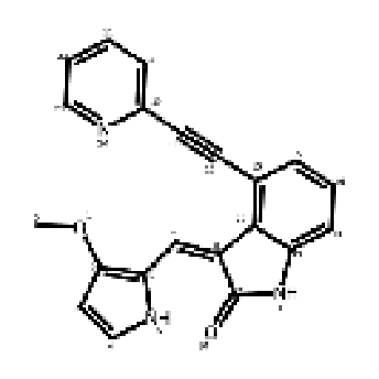 COc1cc[nH]c1C=C1C(=O)Nc2cccc(C#Cc3ccccn3)c21